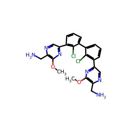 COc1nc(-c2cccc(-c3cccc(-c4cnc(CN)c(OC)n4)c3Cl)c2Cl)cnc1CN